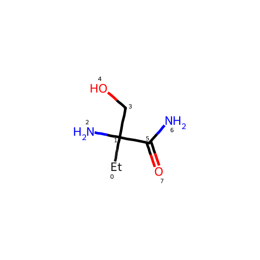 CCC(N)(CO)C(N)=O